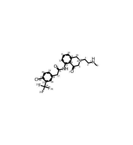 CNCCN1CC(=O)c2c(cccc2NC(=O)Cc2ccc(Cl)c(C(F)(F)F)c2)C1